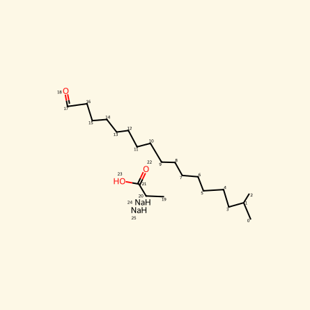 CC(C)CCCCCCCCCCCCCCC=O.CCC(=O)O.[NaH].[NaH]